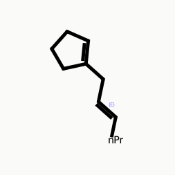 CCC/C=C/CC1=CCCC1